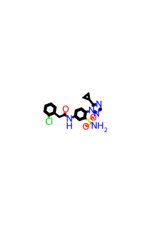 NS(=O)(=O)c1cc(NC(=O)Cc2ccccc2Cl)ccc1-n1ncnc1C1CC1